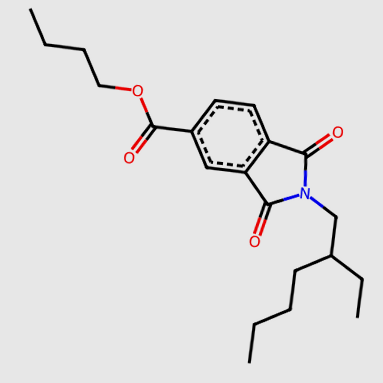 CCCCOC(=O)c1ccc2c(c1)C(=O)N(CC(CC)CCCC)C2=O